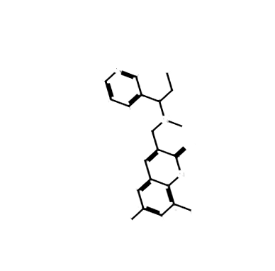 CCC(c1cccnc1)N(C)Cc1cc2cc(C)cc(C)c2[nH]c1=O